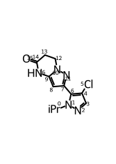 CC(C)n1ncc(Cl)c1-c1cc2n(n1)CCC(=O)N2